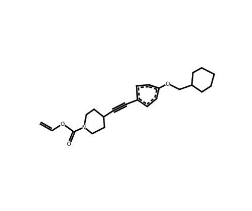 C=COC(=O)N1CCC(C#Cc2ccc(OCC3CCCCC3)cc2)CC1